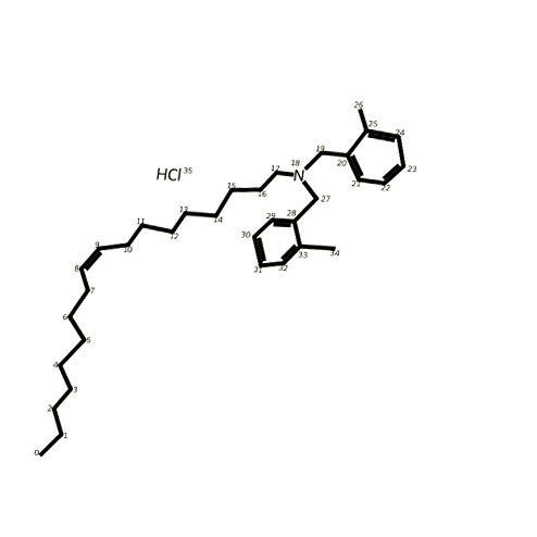 CCCCCCCC/C=C\CCCCCCCCN(Cc1ccccc1C)Cc1ccccc1C.Cl